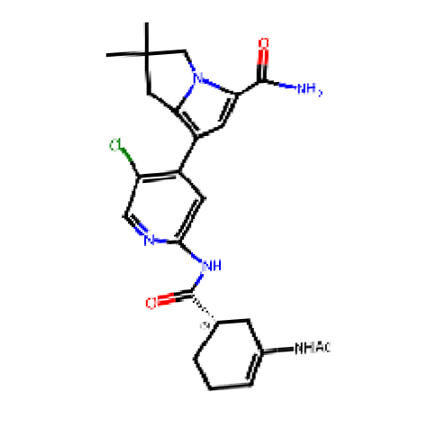 CC(=O)NC1=CCC[C@H](C(=O)Nc2cc(-c3cc(C(N)=O)n4c3CC(C)(C)C4)c(Cl)cn2)C1